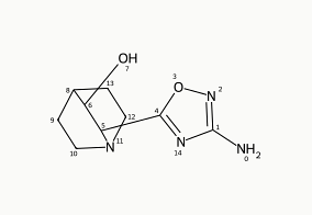 Nc1noc(C2C(O)C3CCN2CC3)n1